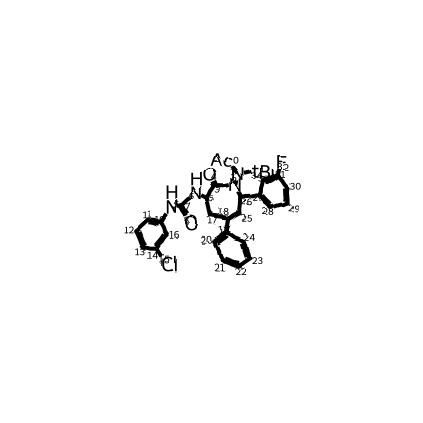 CC(=O)N(N1C(=O)C(NC(=O)Nc2cccc(Cl)c2)CC(c2ccccc2)CC1c1cccc(F)c1)C(C)(C)C